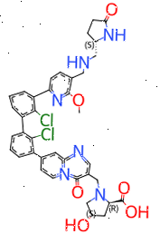 COc1nc(-c2cccc(-c3cccc(-c4ccn5c(=O)c(CN6C[C@@H](O)C[C@@H]6C(=O)O)cnc5c4)c3Cl)c2Cl)ccc1CNC[C@@H]1CCC(=O)N1